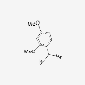 COc1ccc(C(Br)Br)c(OC)c1